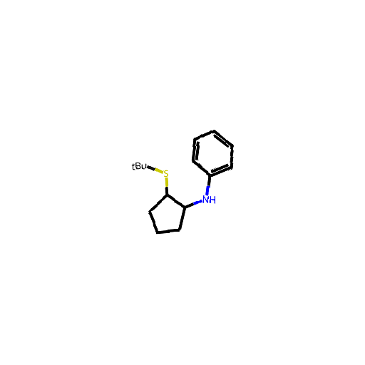 CC(C)(C)SC1CCCC1Nc1ccccc1